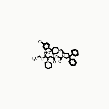 CCOC(=O)C(CC(=O)NC(=O)NCC(CCCN1CCC(O)(c2ccc(Cl)cc2)CC1)(c1ccccc1)c1ccccc1)N1CCCCC1